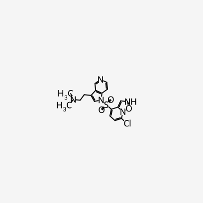 CN(C)CCc1cn(S(=O)(=O)C2=CC=C(Cl)N3ONC=C23)c2ccncc12